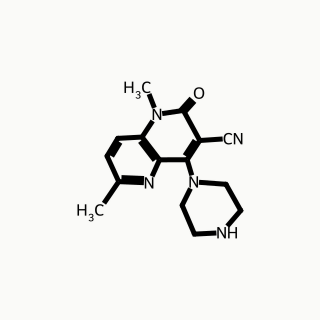 Cc1ccc2c(n1)c(N1CCNCC1)c(C#N)c(=O)n2C